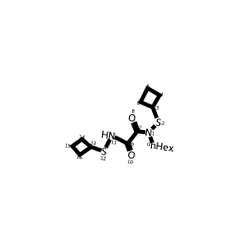 CCCCCCN(SC1CCC1)C(=O)C(=O)NSC1CCC1